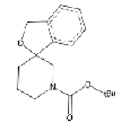 CC(C)(C)OC(=O)N1CCCC2(C1)OCc1ccccc12